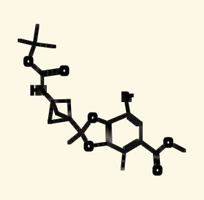 COC(=O)c1cc(Br)c2c(c1C)OC(C)(C13CC(NC(=O)OC(C)(C)C)(C1)C3)O2